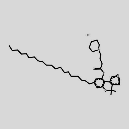 CCCCCCCCCCCCCCCCCCCCc1cc(OC(=O)CCCN2CCCCC2)c2c(c1)OC(C)(C)c1ccncc1-2.Cl